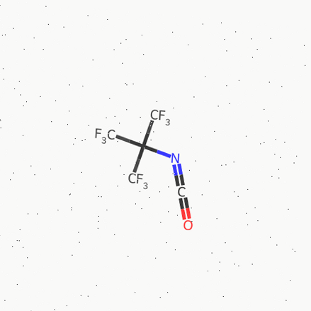 O=C=NC(C(F)(F)F)(C(F)(F)F)C(F)(F)F